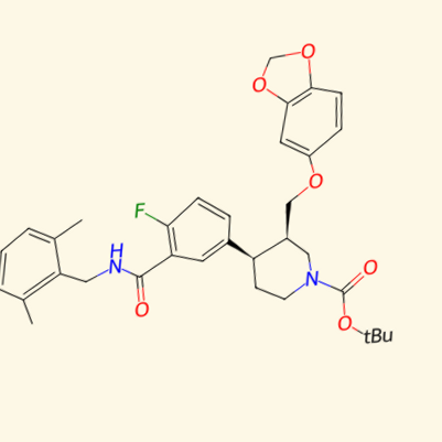 Cc1cccc(C)c1CNC(=O)c1cc([C@@H]2CCN(C(=O)OC(C)(C)C)C[C@@H]2COc2ccc3c(c2)OCO3)ccc1F